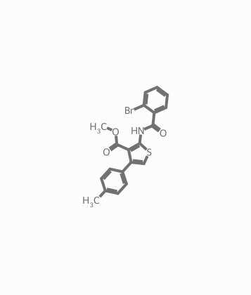 COC(=O)c1c(-c2ccc(C)cc2)csc1NC(=O)c1ccccc1Br